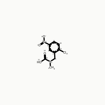 CN(Cc1cc([N+](=O)[O-])ccc1Cl)C(=O)O